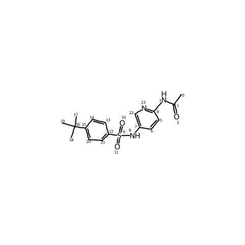 CC(=O)Nc1ccc(NS(=O)(=O)c2ccc(C(C)(C)C)cc2)cn1